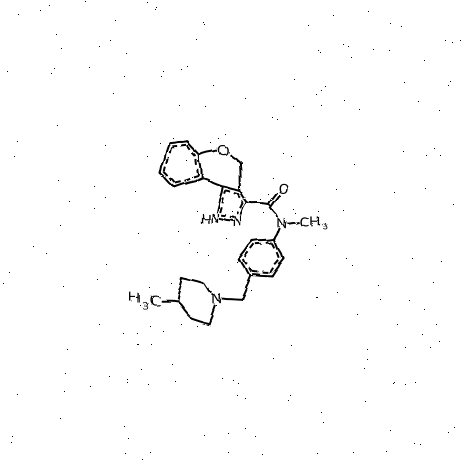 CC1CCN(Cc2ccc(N(C)C(=O)c3n[nH]c4c3COc3ccccc3-4)cc2)CC1